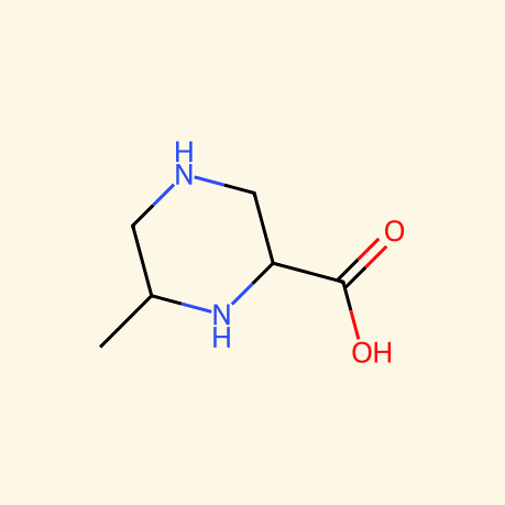 CC1CNCC(C(=O)O)N1